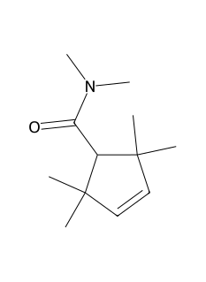 CN(C)C(=O)C1C(C)(C)C=CC1(C)C